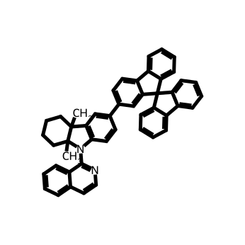 CC12CCCCC1(C)N(c1nccc3ccccc13)c1ccc(-c3ccc4c(c3)C3(c5ccccc5-c5ccccc53)c3ccccc3-4)cc12